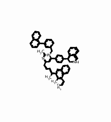 C/C=C\c1c(C)c(/C(C)=C/C=C\C(\C=C(/NCc2cccc(-c3cccc4ccccc34)c2)c2ccc(C3=c4ccccc4=CNC3)cc2)=N\CC)cc2ccccc12